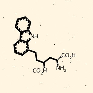 N[C@@H](CC(CCc1cccc2c1[nH]c1ccccc12)C(=O)O)C(=O)O